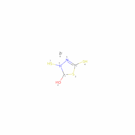 OC1SC(S)=NN1S.[Zr]